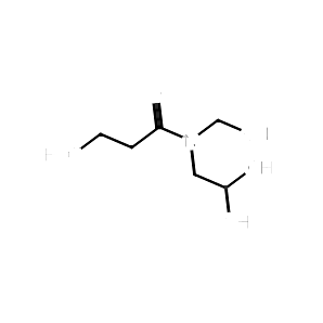 [CH2]CCC(=O)N(CC)CC(C)C